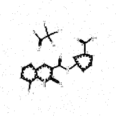 Nc1cccc2cc(C(=O)Nc3cccc(C(=O)O)c3)c(=O)[nH]c12.O=C(O)C(F)(F)F